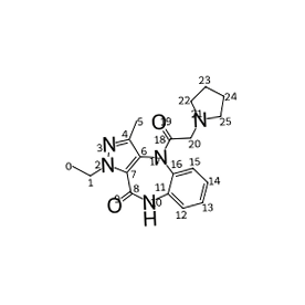 CCn1nc(C)c2c1C(=O)Nc1ccccc1N2C(=O)CN1CCCC1